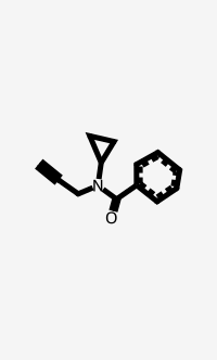 C#CCN(C(=O)c1ccccc1)C1CC1